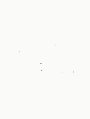 CC1=C[C@]23C(=O)[C@@H](C=C(CO)[C@@H](O)[C@]2(O)C1OC(=O)NC1CCCCC1)[C@H]1[C@@H](C[C@H]3C)C1(C)C